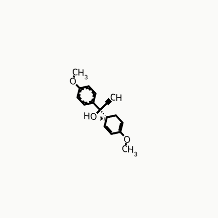 C#CC(O)(c1ccc(OC)cc1)[C@H]1C=CC(OC)=CC1